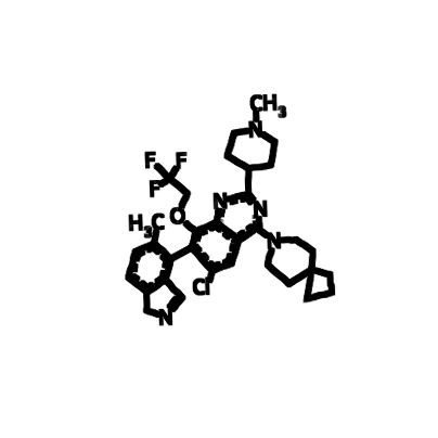 Cc1ccc2c(c1-c1c(Cl)cc3c(N4CCC5(CCC5)CC4)nc(C4CCN(C)CC4)nc3c1OCC(F)(F)F)C=NC2